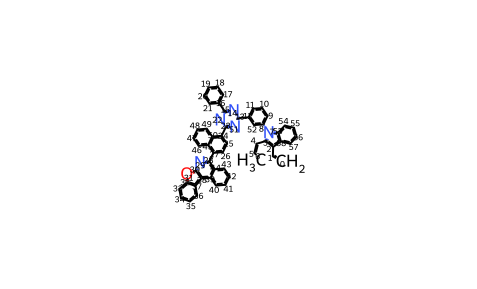 C=Cc1c(/C=C\C)n(-c2cccc(-c3nc(-c4ccccc4)nc(-c4ccc(-c5nc6oc7ccccc7c6c6ccccc56)c5ccccc45)n3)c2)c2ccccc12